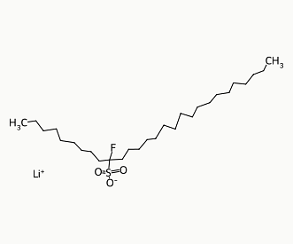 CCCCCCCCCCCCCCCCCCC(F)(CCCCCCCCC)S(=O)(=O)[O-].[Li+]